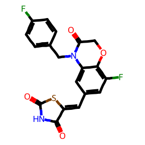 O=C1NC(=O)C(=Cc2cc(F)c3c(c2)N(Cc2ccc(F)cc2)C(=O)CO3)S1